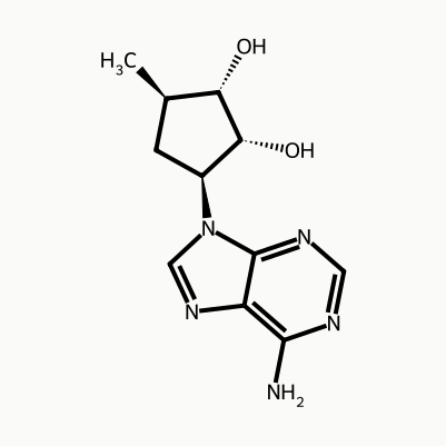 C[C@@H]1C[C@H](n2cnc3c(N)ncnc32)[C@@H](O)[C@H]1O